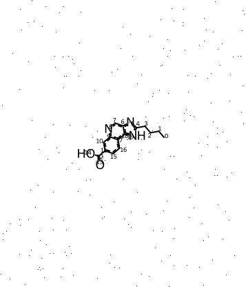 CCCCc1nc2cnc3cc(C(=O)O)ccc3c2[nH]1